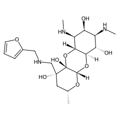 CN[C@@H]1[C@H](O)[C@H](NC)[C@H]2O[C@]3(O)[C@H](O[C@@H]2[C@H]1O)O[C@H](C)C[C@@]3(O)CNCc1ccco1